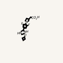 O=C(O)CC1CCN(c2c(F)cc(C3CNCC(OC4CCC4)N3)cc2F)C1